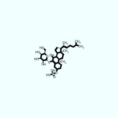 CC(C)CCC[C@@H](C)[C@H]1CCC2C3C(O)C(O[C@H]4O[C@H](CO)[C@H](O)[C@H](O)[C@@H]4O)=C4CC(OP(=O)(O)O)CC[C@]4(C)C3CC[C@@]21C